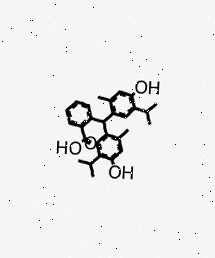 Cc1cc(O)c(C(C)C)cc1C(c1cc(C(C)C)c(O)cc1C)c1ccccc1C(=O)O